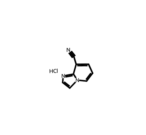 Cl.N#Cc1cccn2ccnc12